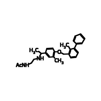 CC(=O)NCCNC(C)c1ccc(OCc2cccc(-c3ccccc3)c2C)c(C)c1